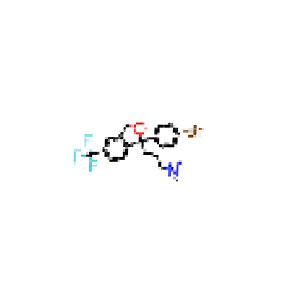 CN(C)CCCC1(c2ccc(Br)cc2)OCc2cc(C(F)(F)F)ccc21